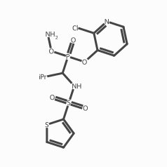 CC(C)C(NS(=O)(=O)c1cccs1)P(=O)(ON)Oc1cccnc1Cl